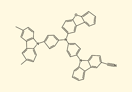 Cc1ccc2c(c1)c1cc(C)ccc1n2-c1ccc(N(c2ccc(-n3c4ccccc4c4cc(C#N)ccc43)cc2)c2ccc3oc4ccccc4c3c2)cc1